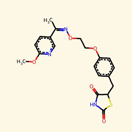 COc1ccc(/C(C)=N\OCCOc2ccc(CC3SC(=O)NC3=O)cc2)cn1